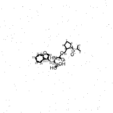 CC(C)[S+]([O-])N1CCCC1COC(=O)N[C@@H](Cc1coc2ccccc12)B(O)O